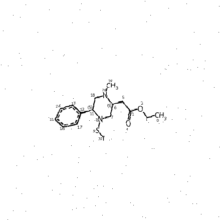 CCOC(=O)C[C@H]1CN(SI)[C@@H](c2ccccc2)CN1C